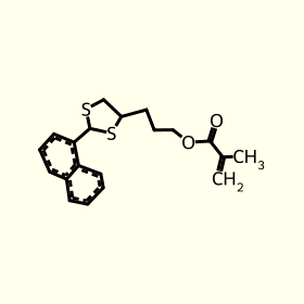 C=C(C)C(=O)OCCCC1CSC(c2cccc3ccccc23)S1